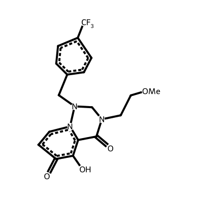 COCCN1CN(Cc2ccc(C(F)(F)F)cc2)n2ccc(=O)c(O)c2C1=O